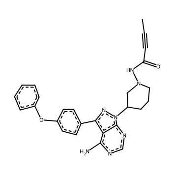 CC#CC(=O)NN1CCCC(n2nc(-c3ccc(Oc4ccccc4)cc3)c3c(N)ncnc32)C1